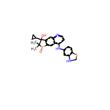 CC1(C)[S+]([O-])c2cc3c(Nc4ccc5c(c4)NCS5)ccnc3cc2C1(O)C1CC1